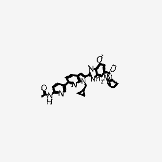 COc1cc(C(=O)N2CC3CCC2C3N)cc2nc(-c3cc4ccc(-c5ccc(NC(C)=O)nc5)nc4n3CC3CC3)n(C)c12